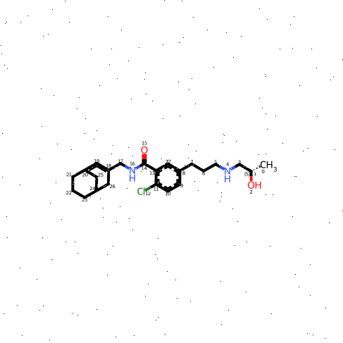 C[C@H](O)CNCCCc1ccc(Cl)c(C(=O)NCC2=C=C3CCCC(C3)C2)c1